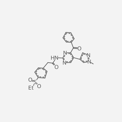 CCS(=O)(=O)c1ccc(CC(=O)Nc2ncc(-c3cnn(C)c3)c(C(=O)c3ccccc3)n2)cc1